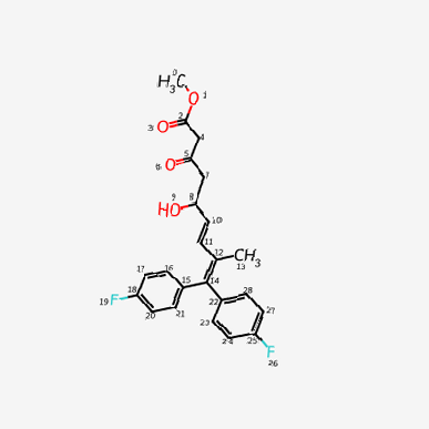 COC(=O)CC(=O)CC(O)/C=C/C(C)=C(c1ccc(F)cc1)c1ccc(F)cc1